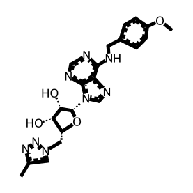 COc1ccc(CNc2ncnc3c2ncn3[C@@H]2O[C@H](Cn3cc(C)nn3)[C@H](O)[C@@H]2O)cc1